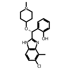 Cc1c(Cl)ccc2[nH]c([C@H](OC3CCN(C)CC3)c3ccccc3O)nc12